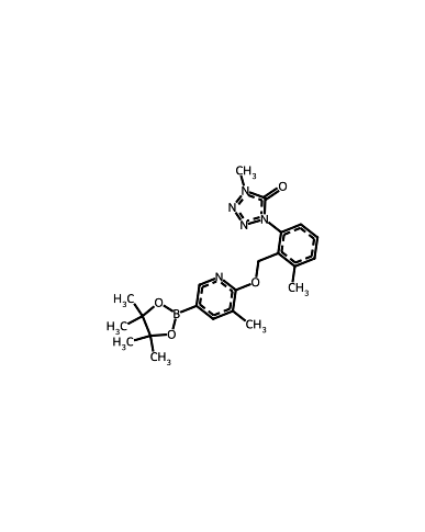 Cc1cc(B2OC(C)(C)C(C)(C)O2)cnc1OCc1c(C)cccc1-n1nnn(C)c1=O